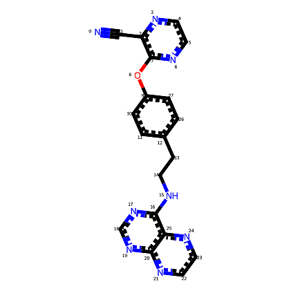 N#Cc1nccnc1Oc1ccc(CCNc2ncnc3nccnc23)cc1